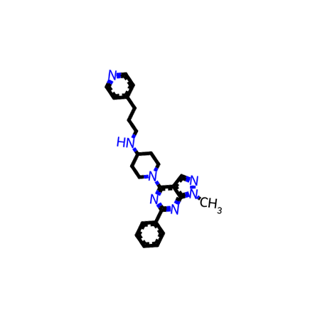 Cn1ncc2c(N3CCC(NCCCc4ccncc4)CC3)nc(-c3ccccc3)nc21